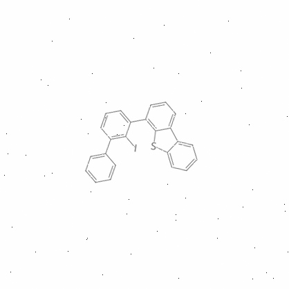 Ic1c(-c2ccccc2)cccc1-c1cccc2c1sc1ccccc12